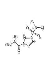 CCCCN(CC)C(=O)n1cnc(S(=O)(=O)N(CC)CC)n1